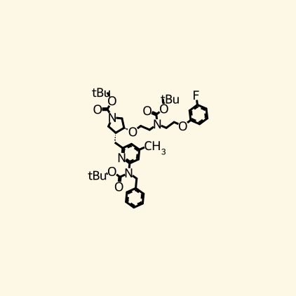 Cc1cc(C[C@@H]2CN(C(=O)OC(C)(C)C)C[C@@H]2OCCN(CCOc2cccc(F)c2)C(=O)OC(C)(C)C)nc(N(Cc2ccccc2)C(=O)OC(C)(C)C)c1